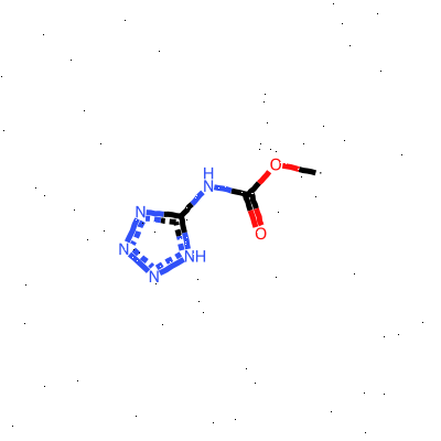 [CH2]OC(=O)Nc1nnn[nH]1